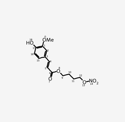 COc1cc(C=CC(=O)OCCCCO[N+](=O)[O-])ccc1O